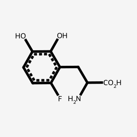 NC(Cc1c(F)ccc(O)c1O)C(=O)O